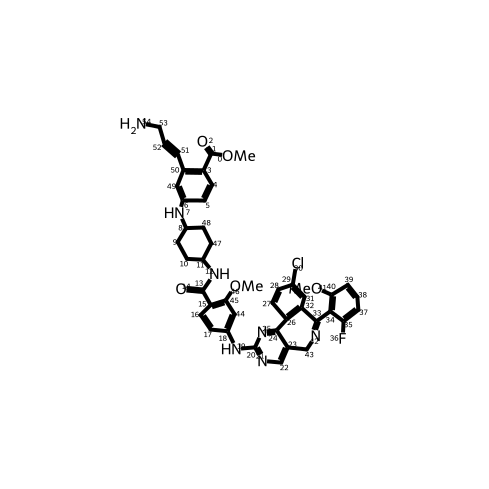 COC(=O)c1ccc(NC2CCC(NC(=O)c3ccc(Nc4ncc5c(n4)-c4ccc(Cl)cc4C(c4c(F)cccc4OC)=NC5)cc3OC)CC2)cc1C#CCN